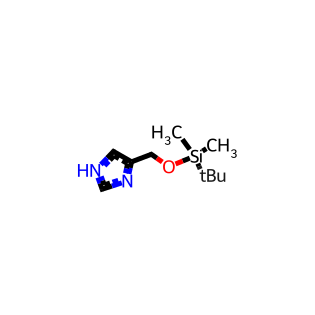 CC(C)(C)[Si](C)(C)OCc1c[nH]cn1